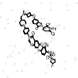 CN(CC1CCN(c2ccc(-n3cnc4ccc(Oc5c(F)ccc(NS(=O)(=O)N6CC[C@@H](F)C6)c5C#N)cc4c3=O)cc2)CC1)C1CC(Oc2ccc3c(c2)CN([C@H]2CCC(=O)NC2=O)C3=O)C1